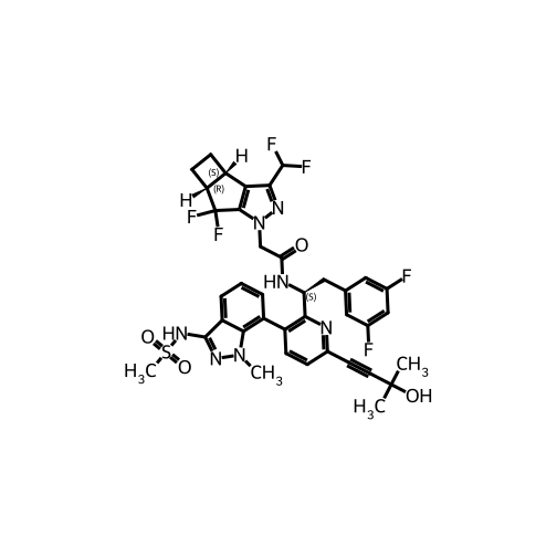 Cn1nc(NS(C)(=O)=O)c2cccc(-c3ccc(C#CC(C)(C)O)nc3[C@H](Cc3cc(F)cc(F)c3)NC(=O)Cn3nc(C(F)F)c4c3C(F)(F)[C@@H]3CC[C@H]43)c21